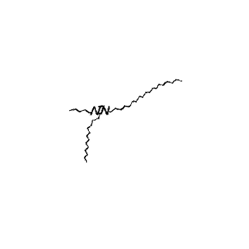 CCCCCCCCCCCCCCCCCCCN1C=CN(CCCCC)C1CCCCCCCCCCCCC